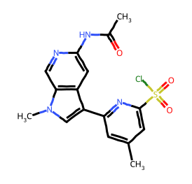 CC(=O)Nc1cc2c(-c3cc(C)cc(S(=O)(=O)Cl)n3)cn(C)c2cn1